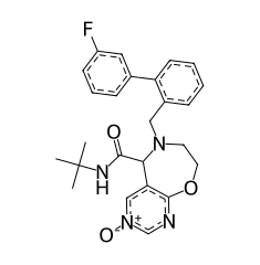 CC(C)(C)NC(=O)C1c2c[n+]([O-])cnc2OCCN1Cc1ccccc1-c1cccc(F)c1